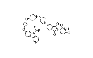 O=C1CCC(N2C(=O)c3ccc(N4CCC(CN5CCC(O[C@H]6C[C@H](Oc7ccc8c9cnccc9n(C(F)F)c8c7)C6)CC5)CC4)cc3C2=O)C(=O)N1